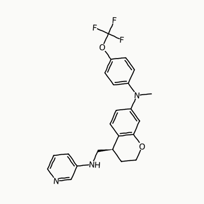 CN(c1ccc(OC(F)(F)F)cc1)c1ccc2c(c1)OCC[C@H]2CNc1cccnc1